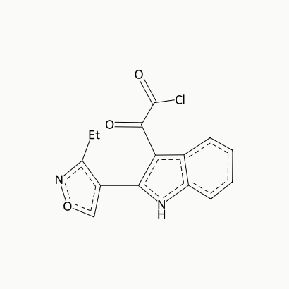 CCc1nocc1-c1[nH]c2ccccc2c1C(=O)C(=O)Cl